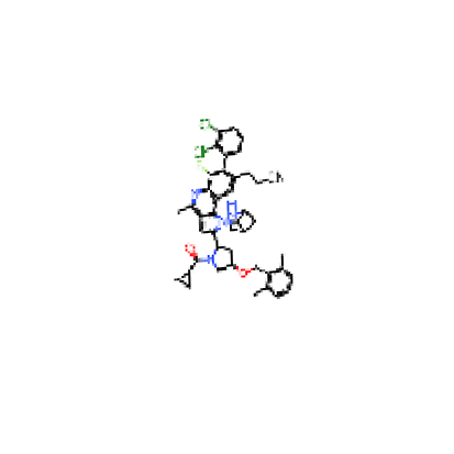 Cc1cccc(C)c1COC1CC(c2cc3c(C)nc4c(F)c(-c5cccc(Cl)c5Cl)c(CCC#N)cc4c3n2C2C3CNC2C3)N(C(=O)C2CC2)C1